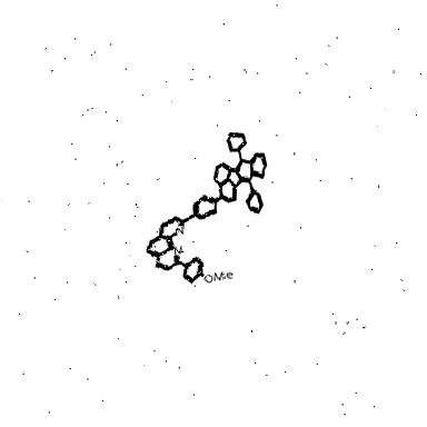 COc1ccc(-c2ccc3ccc4ccc(-c5ccc(-c6ccc7c8c(cccc68)-c6c-7c(-c7ccccc7)c7ccccc7c6-c6ccccc6)cc5)nc4c3n2)cc1